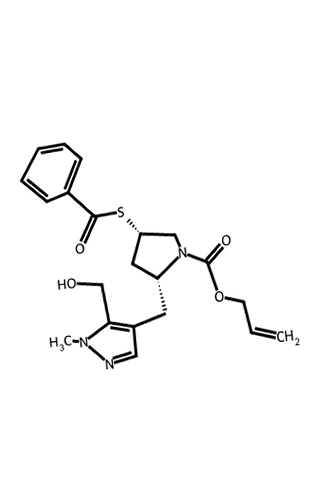 C=CCOC(=O)N1C[C@@H](SC(=O)c2ccccc2)C[C@H]1Cc1cnn(C)c1CO